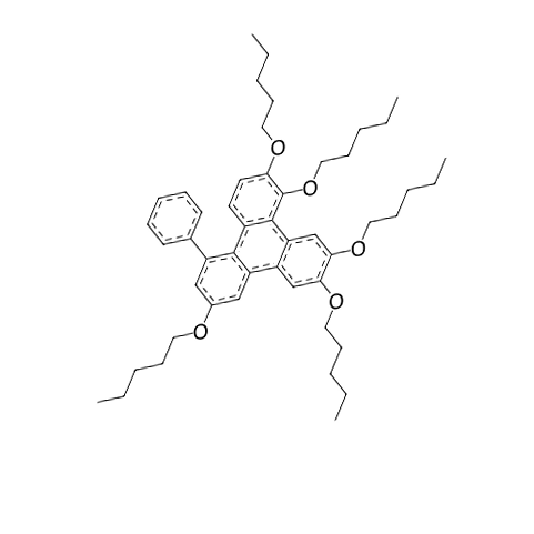 CCCCCOc1cc(-c2ccccc2)c2c(c1)c1cc(OCCCCC)c(OCCCCC)cc1c1c(OCCCCC)c(OCCCCC)ccc21